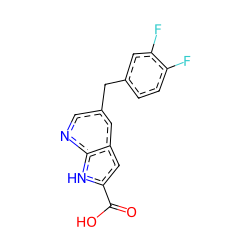 O=C(O)c1cc2cc(Cc3ccc(F)c(F)c3)cnc2[nH]1